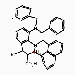 CCC(c1cccc(N(Cc2ccccc2)Cc2ccccc2)c1N(Cc1ccccc1)Cc1ccccc1)C(C)C(=O)O